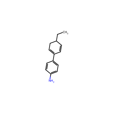 CCC1C=CC(c2ccc(N)cc2)=CC1